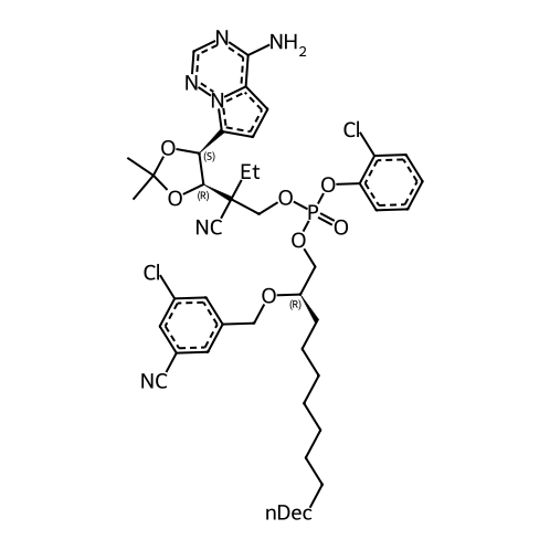 CCCCCCCCCCCCCCCCC[C@H](COP(=O)(OCC(C#N)(CC)[C@H]1OC(C)(C)O[C@H]1c1ccc2c(N)ncnn12)Oc1ccccc1Cl)OCc1cc(Cl)cc(C#N)c1